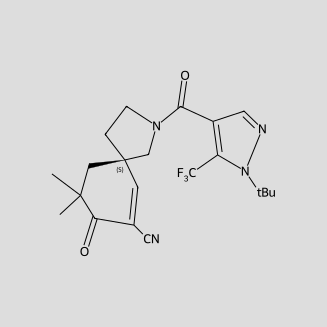 CC1(C)C[C@@]2(C=C(C#N)C1=O)CCN(C(=O)c1cnn(C(C)(C)C)c1C(F)(F)F)C2